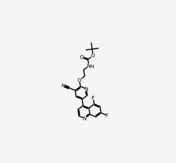 CC(C)(C)OC(=O)NCCOc1ncc(-c2ccnc3cc(F)cc(F)c23)cc1C#N